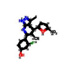 Cc1n[nH]c2nc(-c3ccc(O)cc3F)c(C#N)c(-c3ccc([N+](=O)[O-])o3)c12